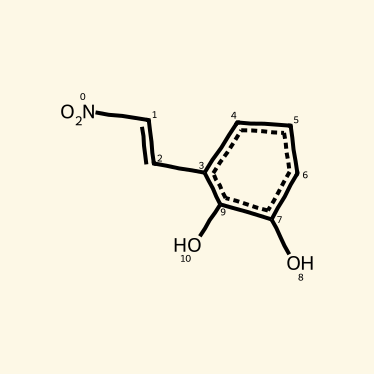 O=[N+]([O-])C=Cc1cccc(O)c1O